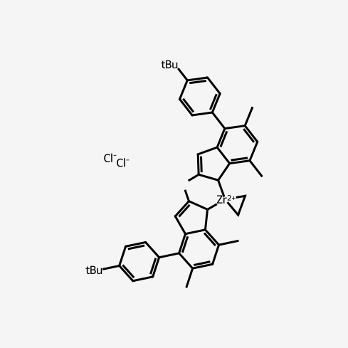 CC1=Cc2c(-c3ccc(C(C)(C)C)cc3)c(C)cc(C)c2[CH]1[Zr+2]1([CH]2C(C)=Cc3c(-c4ccc(C(C)(C)C)cc4)c(C)cc(C)c32)[CH2][CH2]1.[Cl-].[Cl-]